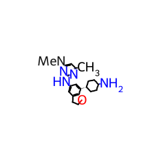 CNc1cc(C)nc(Nc2cc3c(c([C@H]4CC[C@H](N)CC4)c2)OCC3)n1